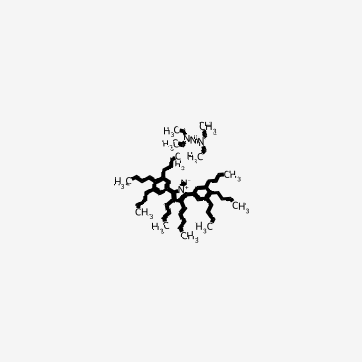 CCCCCC1=C(c2cc(CCCC)c(CCCC)c(CCCC)c2)[N+](=[N-])C(c2cc(CCCC)c(CCCC)c(CCCC)c2)=C1CCCC.CC[N](CC)[Ni][N](CC)CC